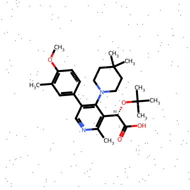 COc1ccc(-c2cnc(C)c([C@H](OC(C)(C)C)C(=O)O)c2N2CCC(C)(C)CC2)cc1C